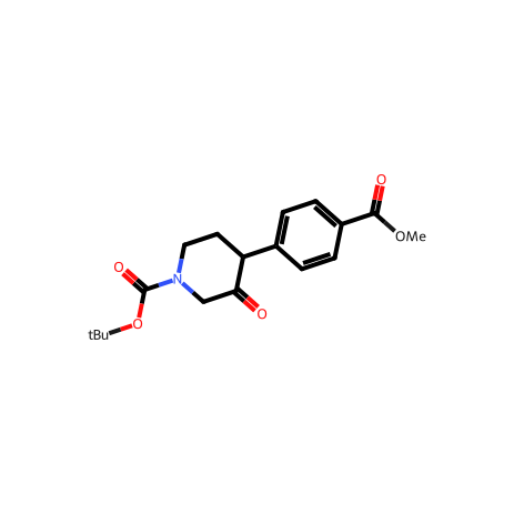 COC(=O)c1ccc(C2CCN(C(=O)OC(C)(C)C)CC2=O)cc1